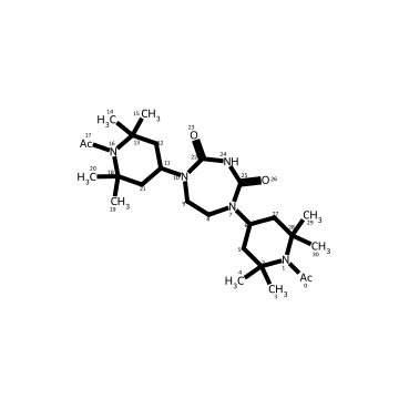 CC(=O)N1C(C)(C)CC(N2CCN(C3CC(C)(C)N(C(C)=O)C(C)(C)C3)C(=O)NC2=O)CC1(C)C